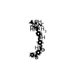 CCCN1c2nc(-c3ccc(NCc4ccc(CNC(=O)c5ccc(C(=O)N6CCCC6)cc5)cc4)nc3)[nH]c2C(=O)N(C2CC2)C1O